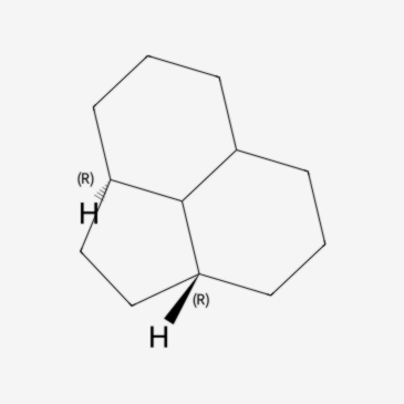 C1CC2CCC[C@@H]3CC[C@@H](C1)C23